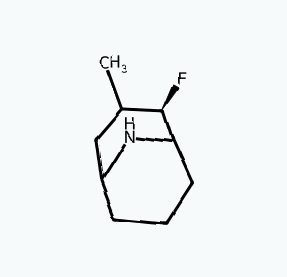 CC1CC2CCCC(N2)[C@@H]1F